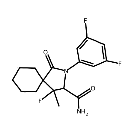 CC1(F)C(C(N)=O)N(c2cc(F)cc(F)c2)C(=O)C12C[CH]CCC2